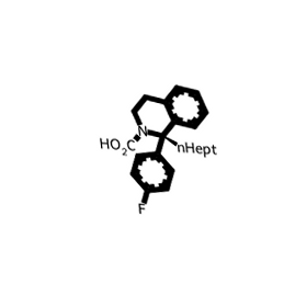 CCCCCCC[C@]1(c2ccc(F)cc2)c2ccccc2CCN1C(=O)O